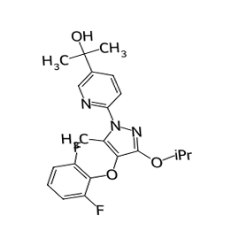 Cc1c(Oc2c(F)cccc2F)c(OC(C)C)nn1-c1ccc(C(C)(C)O)cn1